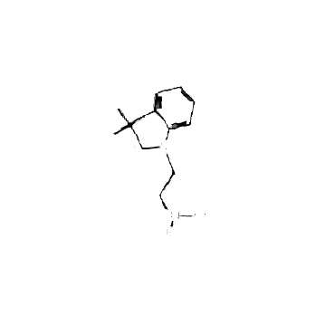 CCN(CC)CCN1c2ccccc2C(C)(C)[C@H]1C